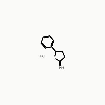 Cl.N=C1CCC(c2ccccc2)S1